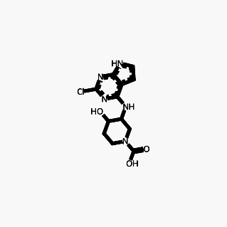 O=C(O)N1CCC(O)C(Nc2nc(Cl)nc3[nH]ccc23)C1